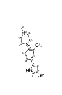 COc1cc(-c2cc(Br)c[nH]2)ccc1N1CCN(C)CC1